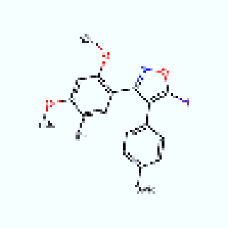 CCCCOc1cc(OCCCC)c(C(C)C)cc1-c1noc(I)c1-c1ccc(OC)cc1